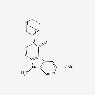 COc1ccc2c(c1)c1c(=O)n(C3CN4CCC3CC4)ccc1n2C